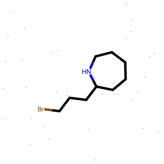 BrCCCC1CCCCCN1